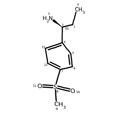 CC[C@H](N)c1ccc(S(C)(=O)=O)cc1